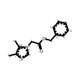 Cc1sc[n+](CC(=O)OCc2ccccc2)c1C